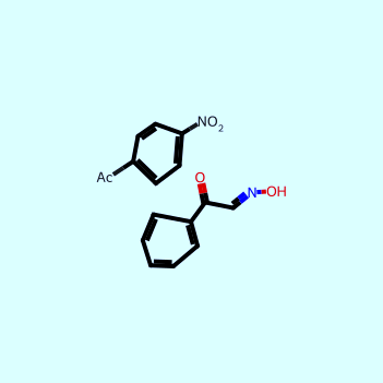 CC(=O)c1ccc([N+](=O)[O-])cc1.O=C(C=NO)c1ccccc1